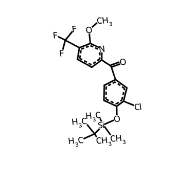 COc1nc(C(=O)c2ccc(O[Si](C)(C)C(C)(C)C)c(Cl)c2)ccc1C(F)(F)F